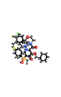 CCP(=O)(CC)c1cn2c(c(OCc3ccccc3)c1=O)C(=O)N1CCOC[C@H]1N2C1c2ccccc2SCc2c1ccc(F)c2F